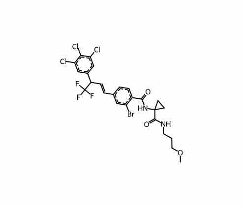 COCCCNC(=O)C1(NC(=O)c2ccc(/C=C/C(c3cc(Cl)c(Cl)c(Cl)c3)C(F)(F)F)cc2Br)CC1